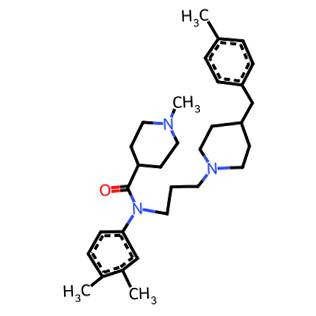 Cc1ccc(CC2CCN(CCCN(C(=O)C3CCN(C)CC3)c3ccc(C)c(C)c3)CC2)cc1